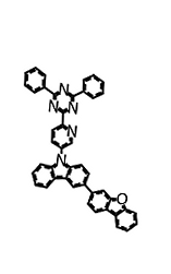 c1ccc(-c2nc(-c3ccccc3)nc(-c3ccc(-n4c5ccccc5c5cc(-c6ccc7c(c6)oc6ccccc67)ccc54)cn3)n2)cc1